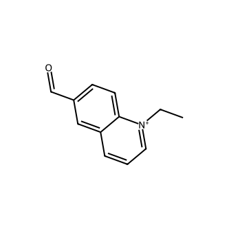 CC[n+]1cccc2cc(C=O)ccc21